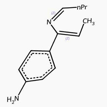 C/C=C(\N=C/CCC)c1ccc(N)cc1